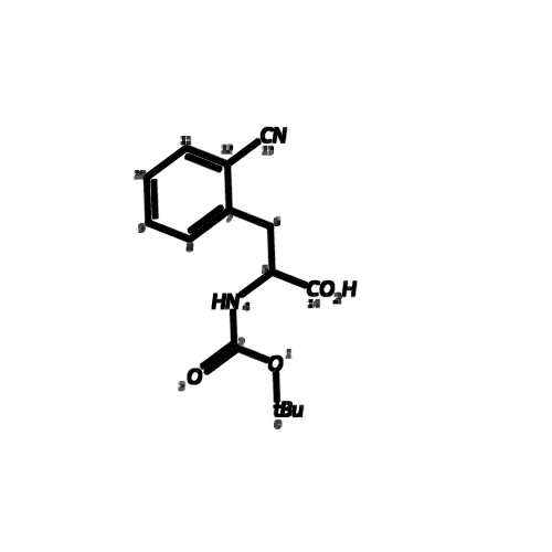 CC(C)(C)OC(=O)NC(Cc1ccccc1C#N)C(=O)O